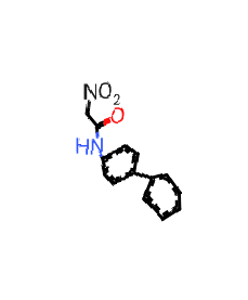 O=C(C[N+](=O)[O-])Nc1ccc(-c2ccccc2)cc1